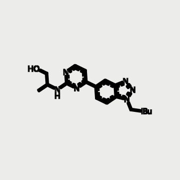 CCC(C)Cn1nnc2cc(-c3ccnc(NC(C)CO)n3)ccc21